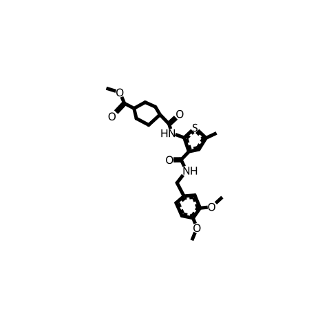 COC(=O)C1CCC(C(=O)Nc2sc(C)cc2C(=O)NCc2ccc(OC)c(OC)c2)CC1